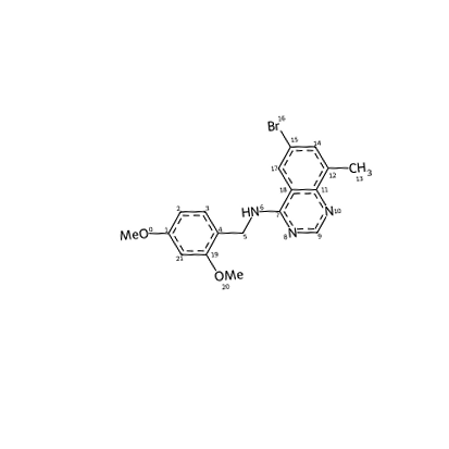 COc1ccc(CNc2ncnc3c(C)cc(Br)cc23)c(OC)c1